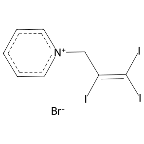 IC(I)=C(I)C[n+]1ccccc1.[Br-]